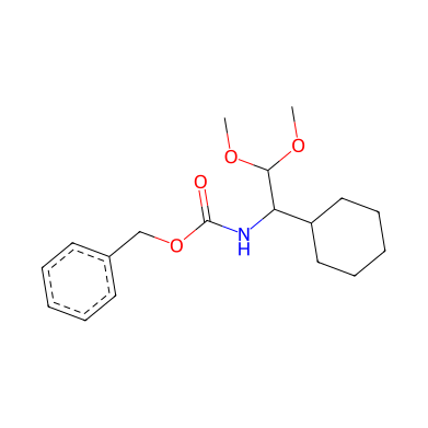 COC(OC)C(NC(=O)OCc1ccccc1)C1CCCCC1